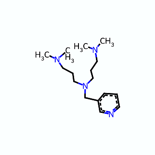 CN(C)CCCN(CCCN(C)C)Cc1cccnc1